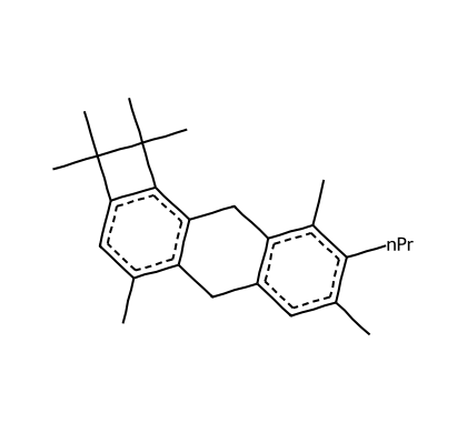 CCCc1c(C)cc2c(c1C)Cc1c(c(C)cc3c1C(C)(C)C3(C)C)C2